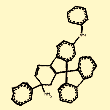 NC1(c2ccccc2)C=CC2=C(C1)C1(c3cc(Nc4ccccc4)ccc32)c2ccccc2-c2ccccc21